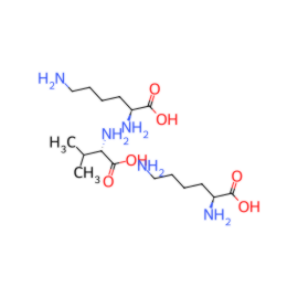 CC(C)[C@H](N)C(=O)O.NCCCC[C@H](N)C(=O)O.NCCCC[C@H](N)C(=O)O